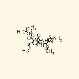 CC/C=C\C1=C(C(=O)OC(C)OC(C)=O)N2C(=O)C(NC(=O)/C(=N\OC)c3csc(N)n3)[C@@H]2SC1